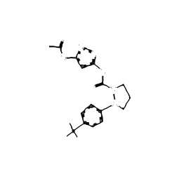 CC(=O)Nc1cc(NC(=O)N2CCCN2c2ccc(C(F)(F)F)cc2)on1